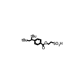 CC(C)(C)CC(c1ccc(C(=O)OCCS(=O)(=O)O)cc1)C(C)(C)C